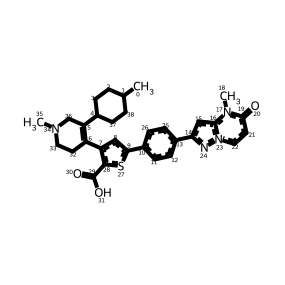 CC1CCC(C2=C(c3cc(-c4ccc(-c5cc6n(C)c(=O)ccn6n5)cc4)sc3C(=O)O)CCN(C)C2)CC1